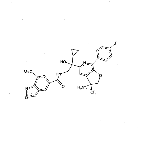 COc1cc(C(=O)NCC(O)(c2cc3c(c(-c4ccc(F)cc4)n2)OC[C@@]3(N)C(F)(F)F)C2CC2)cc2conc12